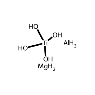 [AlH3].[MgH2].[OH][Ti]([OH])([OH])[OH]